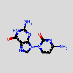 Nc1ccn(-n2cnc3c(=O)[nH]c(N)nc32)c(=O)n1